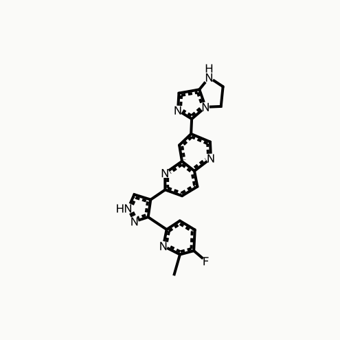 Cc1nc(-c2n[nH]cc2-c2ccc3ncc(-c4ncc5n4CCN5)cc3n2)ccc1F